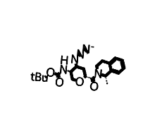 C[C@H]1c2ccccc2CCN1C(=O)[C@H]1CC(N=[N+]=[N-])[C@@H](NC(=O)OC(C)(C)C)CO1